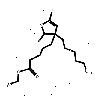 CCCCCCC1(CCCCC(=O)OCC)C=C(I)SC1F